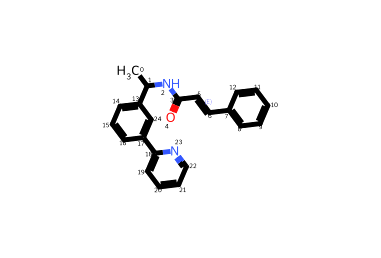 CC(NC(=O)/C=C/c1ccccc1)c1cccc(-c2ccccn2)c1